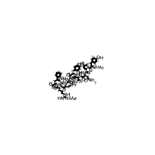 CNC(=N)NCCC[C@H](NC(=O)[C@H](CC(C)C)NC(=O)NNC(=O)[C@H](Cc1ccc(Cl)cc1)NC(=O)C(NC(=O)[C@H](CC(N)=O)NC(=O)[C@@H]1C[C@@H](O)CN1C(=O)[C@@H](Cc1ccc(O)cc1)NC(C)=O)[C@@H](C)O)C(=O)N[C@@H](Cc1c[nH]c2ccccc12)C(N)=O